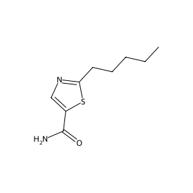 CCCCCc1ncc(C(N)=O)s1